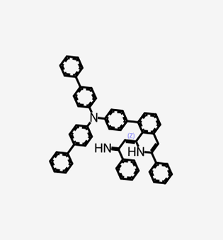 N=C(/C=C1\NC(c2ccccc2)=Cc2cccc(-c3ccc(N(c4ccc(-c5ccccc5)cc4)c4ccc(-c5ccccc5)cc4)cc3)c21)c1ccccc1